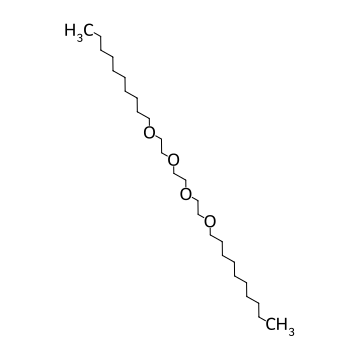 CCCCCCCCCCOCCOCCOCCOCCCCCCCCCC